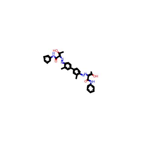 C/C(O)=C(\N=N\c1ccc(-c2ccc(/N=N/C(C(=O)Nc3ccccc3)=C(\C)O)c(C)c2)cc1C)C(=O)Nc1ccccc1